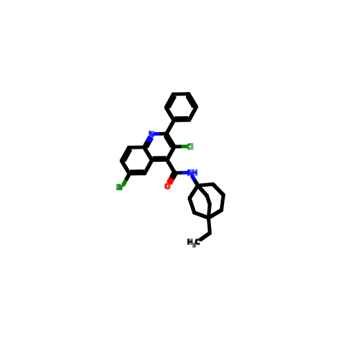 CCC12CCCC(NC(=O)c3c(Cl)c(-c4ccccc4)nc4ccc(Br)cc34)(CC1)CC2